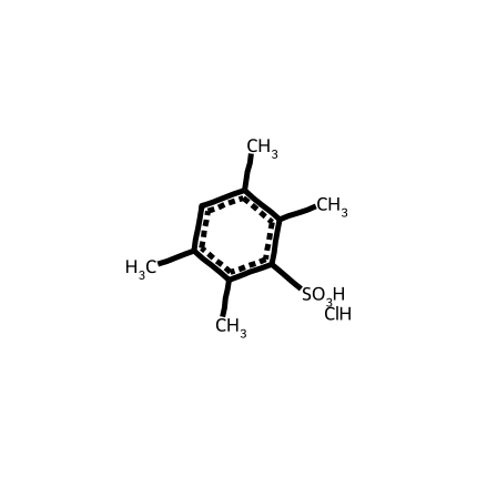 Cc1cc(C)c(C)c(S(=O)(=O)O)c1C.Cl